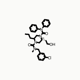 CCCC1CN(C(=O)N(c2ccccc2)c2ccccc2)[C@H](CCO)CN1C(=O)N(C)Cc1cccc(Cl)c1